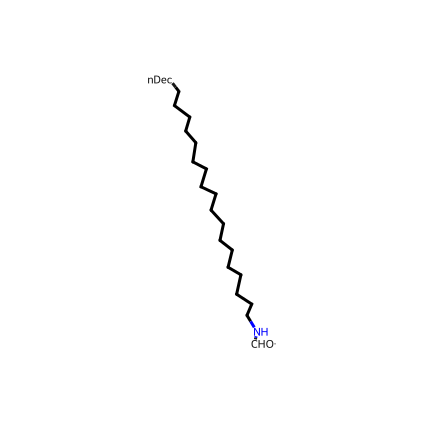 CCCCCCCCCCCCCCCCCCCCCCCCCCCCN[C]=O